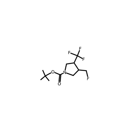 CC(C)(C)OC(=O)N1CC(CF)C(C(F)(F)F)C1